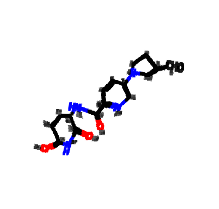 O=CC1CCN(c2ccc(C(=O)N[C@H]3CCC(=O)NC3=O)nc2)C1